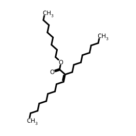 CCCCCCCCC=C(CCCCCCCC)C(=O)OCCCCCCCC